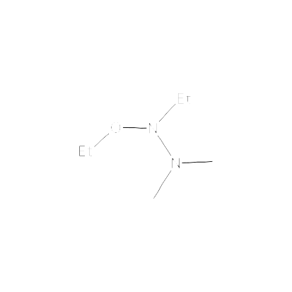 CCON(CC)N(C)C